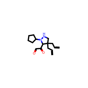 C=CCC1(CC=C)CNN(C2CCCC2)C1C(=O)C=O